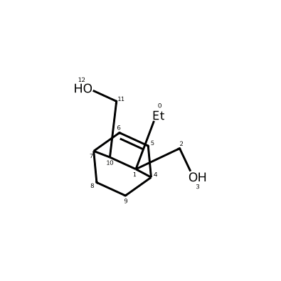 CCC1(CO)C2C=CC(CC2)C1CO